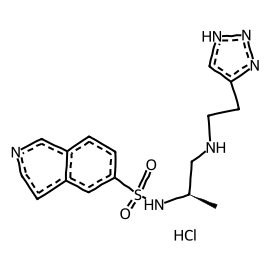 C[C@H](CNCCc1c[nH]nn1)NS(=O)(=O)c1ccc2cnccc2c1.Cl